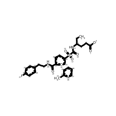 CCC(CCC([O])=O)NC(=O)S(=O)(=O)c1ccc(C(=O)NCCc2ccc(F)cc2)cc1.Cc1ccccn1